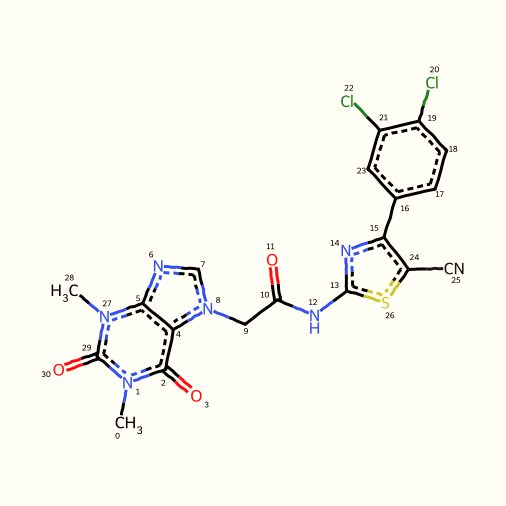 Cn1c(=O)c2c(ncn2CC(=O)Nc2nc(-c3ccc(Cl)c(Cl)c3)c(C#N)s2)n(C)c1=O